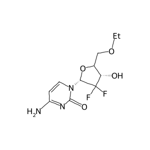 CCOCC1O[C@@H](n2ccc(N)nc2=O)C(F)(F)[C@H]1O